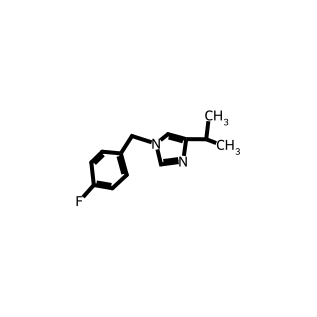 CC(C)c1cn(Cc2ccc(F)cc2)cn1